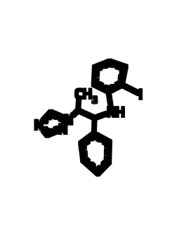 CC(C(Nc1ccccc1I)c1ccccc1)n1cncn1